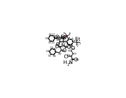 CCC(C)(C)c1cc(C(C)(C)CC)c(C(C(=O)Nc2ccccc2)(C(=O)C(C)(C)C)N2C(=O)OC(Cc3ccccc3)C2=O)cc1OCCC(Cl)C(N)=O